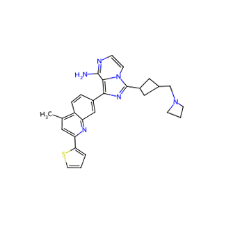 Cc1cc(-c2cccs2)nc2cc(-c3nc(C4CC(CN5CCC5)C4)n4ccnc(N)c34)ccc12